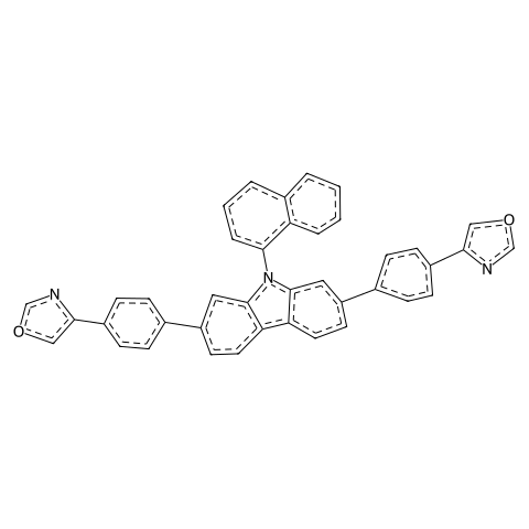 c1ccc2c(-n3c4cc(-c5ccc(-c6cocn6)cc5)ccc4c4ccc(-c5ccc(-c6cocn6)cc5)cc43)cccc2c1